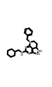 c1ccc(CN2CCC3NNc4nc(NCC5CCCCC5)nc2c43)cc1